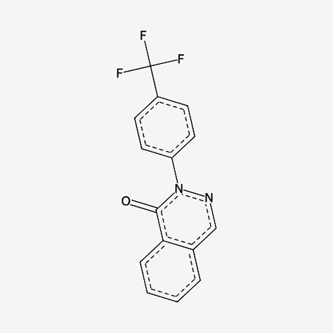 O=c1c2ccccc2cnn1-c1ccc(C(F)(F)F)cc1